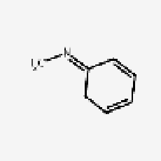 C/N=C1/C=CC=CC1